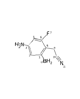 Bc1cc(N)cc(F)c1CC#N